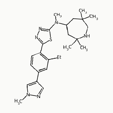 CCc1cc(-c2cnn(C)c2)ccc1-c1nnc(N(C)C2CC(C)(C)CNC(C)(C)C2)s1